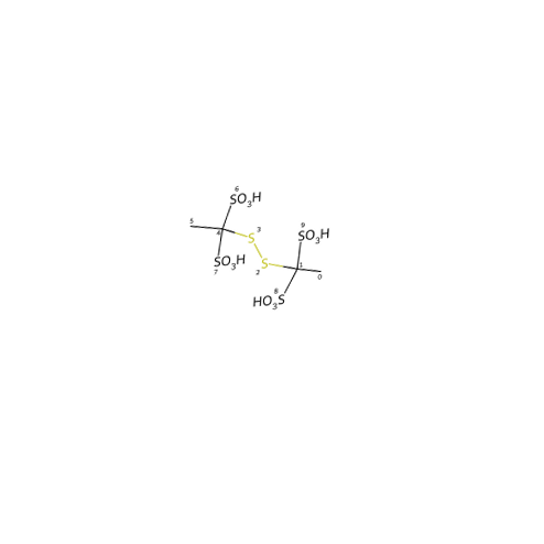 CC(SSC(C)(S(=O)(=O)O)S(=O)(=O)O)(S(=O)(=O)O)S(=O)(=O)O